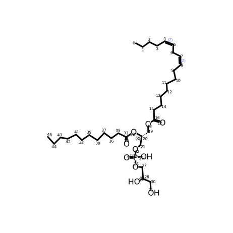 CCCC/C=C\C/C=C\CCCCCCCC(=O)OC[C@H](COP(=O)(O)OC[C@@H](O)CO)OC(=O)CCCCCCCCCCC